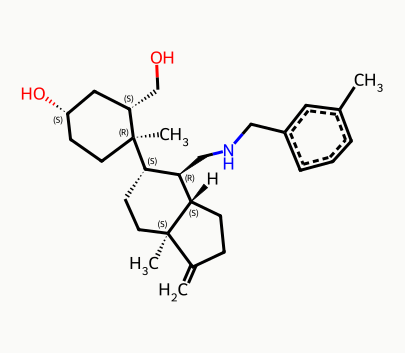 C=C1CC[C@H]2[C@H](CNCc3cccc(C)c3)[C@@H]([C@@]3(C)CC[C@H](O)C[C@@H]3CO)CC[C@]12C